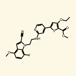 CCOc1cc(-c2ccnc(NCCn3c(C#N)cc4c(OC)ccc(F)c43)c2)sc1C(=O)OC